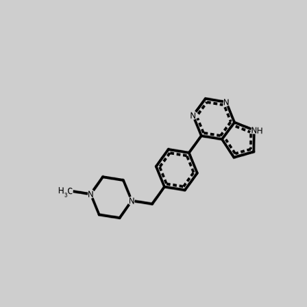 CN1CCN(Cc2ccc(-c3ncnc4[nH]ccc34)cc2)CC1